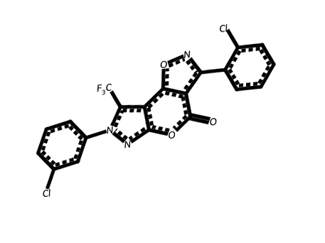 O=c1oc2nn(-c3cccc(Cl)c3)c(C(F)(F)F)c2c2onc(-c3ccccc3Cl)c12